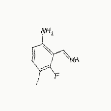 Cc1ccc(N)c(C=N)c1F